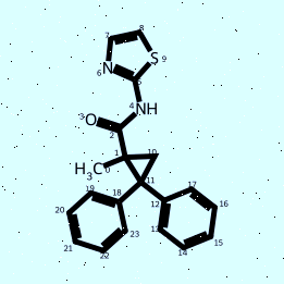 CC1(C(=O)Nc2nccs2)CC1(c1ccccc1)c1ccccc1